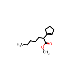 CCCCCC(C(=O)OC)C1=CCCC1